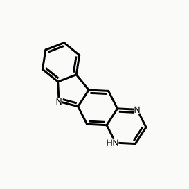 c1ccc2c(c1)nc1cc3[nH]ccnc3cc12